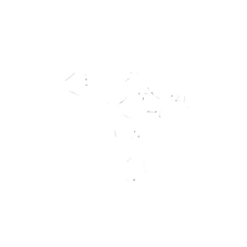 COC(=O)c1c(OCc2ccccc2)c2ccc(-c3ccccc3)nc2c2nc(N)nn12